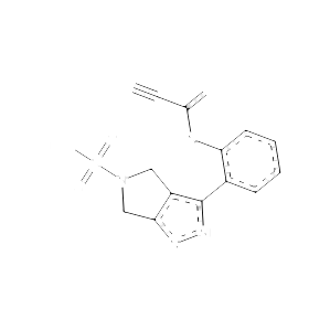 C#CC(=O)Nc1ccccc1-c1[nH]nc2c1CN(S(C)(=O)=O)C2